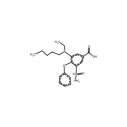 CCCCCN(CC)c1cc(C(=O)O)cc(S(N)(=O)=O)c1Oc1ccccc1